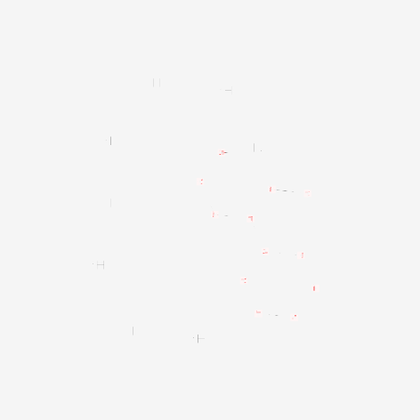 [2H]c1c([2H])c([2H])c2c(-c3cccc4ccccc34)c3c(-c4ccccc4-c4cccc5ccccc45)c([2H])c([2H])c([2H])c3c([2H])c2c1[2H]